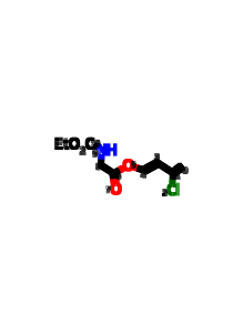 C=C(Cl)C=COC(=O)CNC(=O)OCC